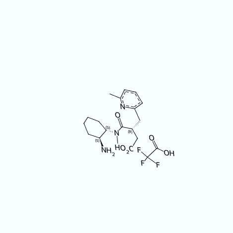 Cc1cccc(C[C@H](CC(=O)O)C(=O)N(C)[C@H]2CCCC[C@@H]2N)n1.O=C(O)C(F)(F)F